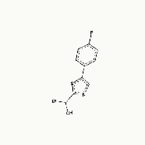 CCC(O)c1ncc(-c2ccc(F)cc2)s1